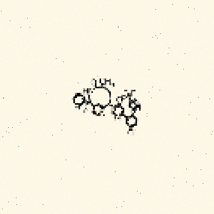 C[C@@H]1CCC[C@H](n2cnc(-c3cc(Cl)ccc3-n3cc(C(F)(F)F)nn3)cc2=O)c2cc(ccn2)C(C)(c2ccccc2)CNC1=O